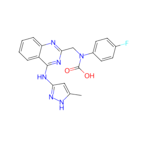 Cc1cc(Nc2nc(CN(C(=O)O)c3ccc(F)cc3)nc3ccccc23)n[nH]1